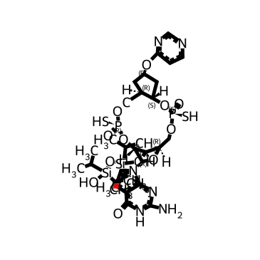 CC(C)[Si](O)(O[Si](O[C@H]1[C@H]2O[P@](=O)(S)OC[C@H]3C[C@@H](Oc4ccncn4)C[C@@H]3O[P@@](=O)(S)OC[C@H]1O[C@H]2n1ccc2c(=O)[nH]c(N)nc21)(C(C)C)C(C)C)C(C)C